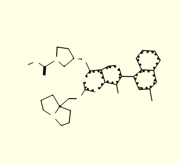 C[C@H]1CN(C(=O)OC(C)(C)C)C[C@@H]1Nc1nc(OCC23CCCN2CCC3)nc2c(F)c(-c3cc(O)cc4ccccc34)ncc12